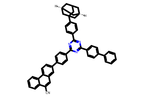 N#Cc1cc2cc(-c3ccc(-c4nc(-c5ccc(-c6ccccc6)cc5)nc(-c5ccc(C67CC8C[C@H](C6)C[C@@H](C8)C7)cc5)n4)cc3)ccc2c2ccccc12